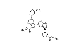 Cc1cc(-c2cnc3c(n2)c(-c2ccc4ncn(C5CCCN(C(=O)OC(C)(C)C)C5)c4c2)cn3C(=O)OC(C)(C)C)ccn1